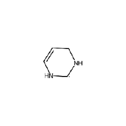 [CH]1NC=CCN1